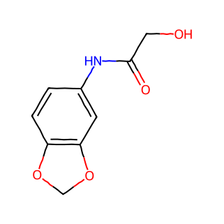 O=C(CO)Nc1ccc2c(c1)OCO2